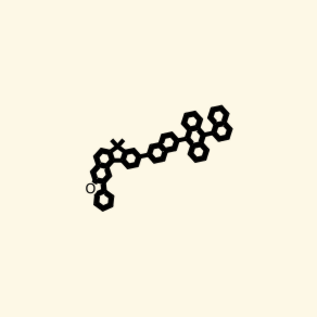 CC1(C)c2cc(-c3ccc4cc(-c5c6ccccc6c(-c6cccc7ccccc67)c6ccccc56)ccc4c3)ccc2-c2c1ccc1cc3oc4ccccc4c3cc21